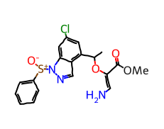 COC(=O)/C(=C/N)OC(C)c1cc(Cl)cc2c1cnn2[S+]([O-])c1ccccc1